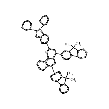 CC1(C)c2ccccc2-c2ccc(-c3cc4c(-c5ccc6c(c5)C(C)(C)c5ccccc5-6)cc(-c5ccc6c(c5)nc(-c5ccccc5)n6-c5ccccc5)nc4c4ccccc34)cc21